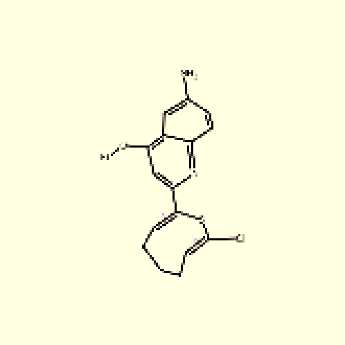 CCOc1cc(/C2=C/CCC/C=C(\Cl)S2)nc2ccc(N)cc12